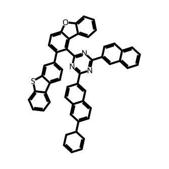 C1=CCC(c2ccc3cc(-c4nc(-c5ccc6ccccc6c5)nc(-c5c(-c6ccc7c(c6)sc6ccccc67)ccc6oc7ccccc7c56)n4)ccc3c2)C=C1